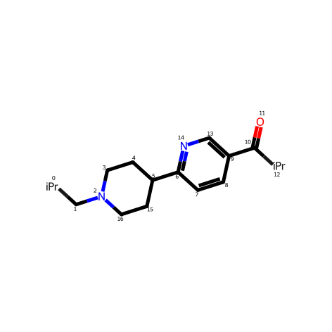 CC(C)CN1CCC(c2ccc(C(=O)C(C)C)cn2)CC1